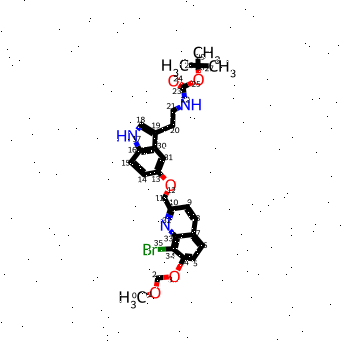 COCOc1ccc2ccc(COc3ccc4[nH]cc(CCNC(=O)OC(C)(C)C)c4c3)nc2c1Br